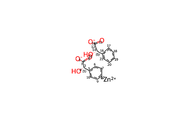 O=C([O-])[C@@H](O)c1ccccc1.O=C([O-])[C@@H](O)c1ccccc1.[Zn+2]